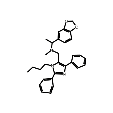 CCCCn1c(-c2ccccc2)nc(-c2ccccc2)c1CN(C)C(C)c1ccc2c(c1)OCO2